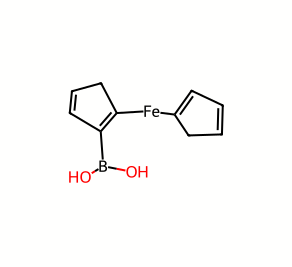 OB(O)C1=[C]([Fe][C]2=CC=CC2)CC=C1